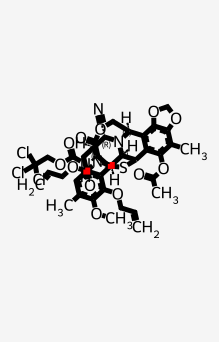 C=CCOC(=O)N1[C@@H]2c3c(cc(C)c(OC)c3OCC=C)C[C@H]1[C@H](C#N)N1[C@H]3COC(=O)[C@@H](NC(=O)OCC(Cl)(Cl)Cl)CSC(c4c(OC(C)=O)c(C)c5c(c43)OCO5)[C@@H]21